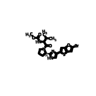 COC(=O)NC(C(=O)N1CCC[C@H]1c1nc(-c2cc3oc(Br)cc3s2)c[nH]1)C(C)C